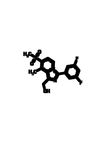 Cc1c(S(C)(=O)=O)ccn2c(-c3cc(F)cc(F)c3)nc(CO)c12